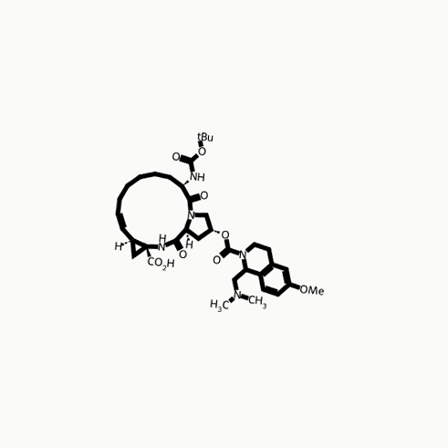 COc1ccc2c(c1)CCN(C(=O)O[C@@H]1C[C@H]3C(=O)N[C@]4(C(=O)O)C[C@H]4/C=C\CCCCC[C@H](NC(=O)OC(C)(C)C)C(=O)N3C1)C2CN(C)C